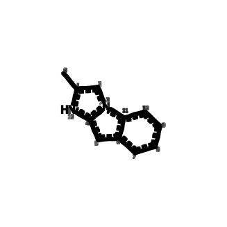 Cc1cn2c(cc3ccccc32)[nH]1